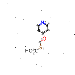 O=C(O)SCOc1ccncc1